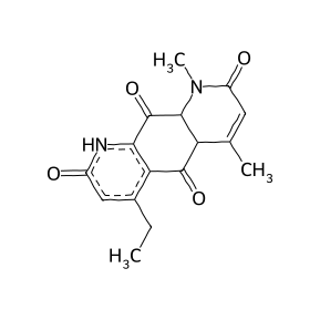 CCc1cc(=O)[nH]c2c1C(=O)C1C(C)=CC(=O)N(C)C1C2=O